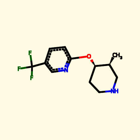 C[C@@H]1CNCC[C@@H]1Oc1ccc(C(F)(F)F)cn1